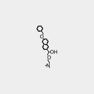 CN(C)CCOCC(O)c1ccc2cc(OCc3ccccc3)ccc2c1